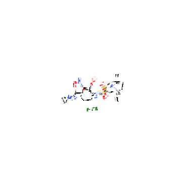 Cl.N[C@H]1CC[C@H](S(=O)(=O)N2[C@@H]3CC[C@H]2C[C@@H](NC(=O)c2cc(C4CC4)on2)C3)CC1